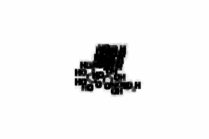 O=S(=O)(O)O.O=S(=O)(O)O.O=S(=O)(O)O.O=S(=O)(O)O.O=S(=O)(O)O.O=S(=O)(O)O.O=S(=O)(O)O.O=S(=O)(O)O.OC[C@H]1O[C@H](O[C@H]2O[C@H](CO)[C@@H](O)[C@H](O)[C@H]2O)[C@H](O)[C@@H](O)[C@@H]1O.[K]